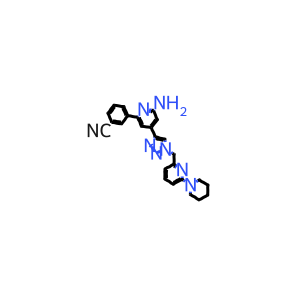 N#Cc1cccc(-c2cc(-c3cn(Cc4cccc(N5CCCCC5)n4)nn3)cc(N)n2)c1